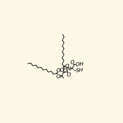 CCCCCCCCCCCC(=O)O[C@H](C)[C@@H](OC(=O)CCCCCCCCCCC)C(=O)N[C@@H](CS)C(=O)O